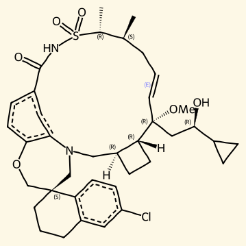 CO[C@@]1(C[C@@H](O)C2CC2)/C=C/C[C@H](C)[C@@H](C)S(=O)(=O)NC(=O)c2ccc3c(c2)N(C[C@@H]2CC[C@H]21)C[C@@]1(CCCc2cc(Cl)ccc21)CO3